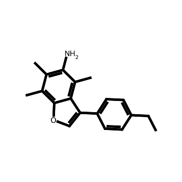 CCc1ccc(-c2coc3c(C)c(C)c(N)c(C)c23)cc1